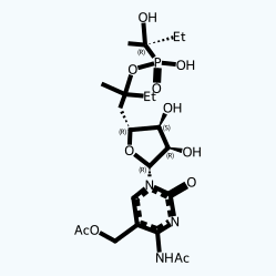 CCC(C)(C[C@H]1O[C@@H](n2cc(COC(C)=O)c(NC(C)=O)nc2=O)[C@H](O)[C@@H]1O)OP(=O)(O)[C@@](C)(O)CC